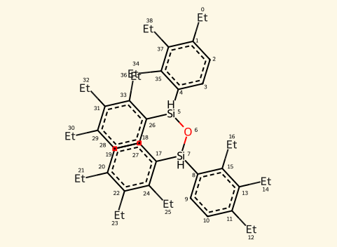 CCc1ccc([SiH](O[SiH](c2ccc(CC)c(CC)c2CC)c2ccc(CC)c(CC)c2CC)c2ccc(CC)c(CC)c2CC)c(CC)c1CC